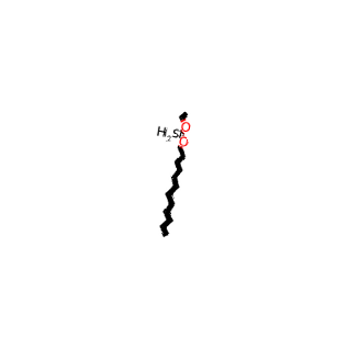 CCCCCCCCCCCCO[SiH2]OCC